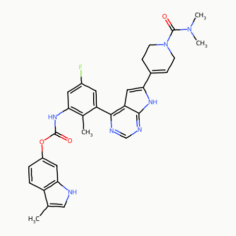 Cc1c(NC(=O)Oc2ccc3c(C)c[nH]c3c2)cc(F)cc1-c1ncnc2[nH]c(C3=CCN(C(=O)N(C)C)CC3)cc12